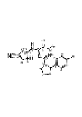 Cc1ccc(C2CCCN2C2=NC(C)[C@@H](C)C(N[C@H]3NC=C(C#N)S3)=N2)cc1